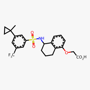 CC1(c2cc(C(F)(F)F)cc(S(=O)(=O)NC3CCCc4c(OCC(=O)O)cccc43)c2)CC1